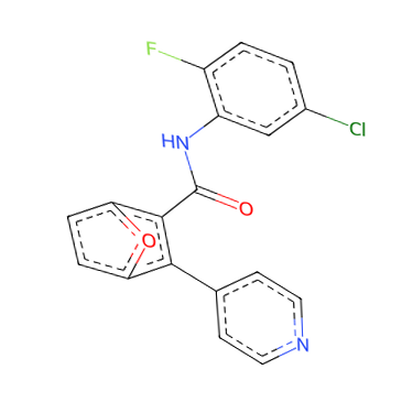 O=C(Nc1cc(Cl)ccc1F)c1c(-c2ccncc2)c2ccc1o2